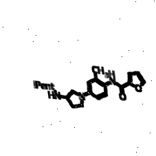 CCC[C@H](C)NC1CCN(c2ccc(NC(=O)c3ccco3)c(C)c2)C1